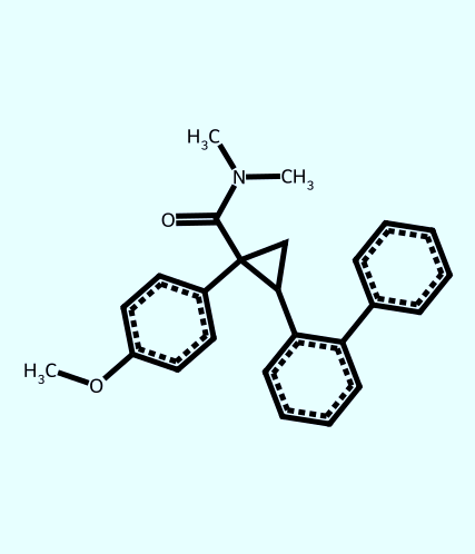 COc1ccc(C2(C(=O)N(C)C)CC2c2ccccc2-c2ccccc2)cc1